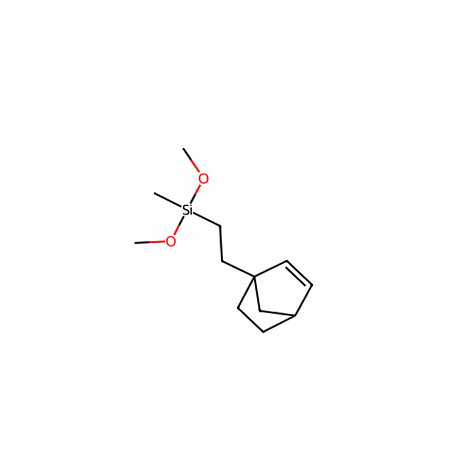 CO[Si](C)(CCC12C=CC(CC1)C2)OC